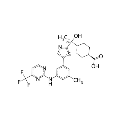 Cc1cc(Nc2nccc(C(F)(F)F)n2)cc(-c2cnc([C@@](C)(O)[C@H]3CC[C@H](C(=O)O)CC3)s2)c1